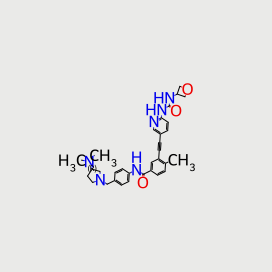 Cc1ccc(C(=O)Nc2ccc(CN3CC[C@@H](N(C)C)C3)cc2)cc1C#Cc1ccc(NC(=O)NC2COC2)nc1